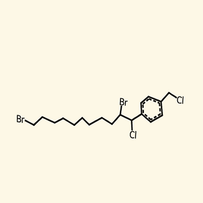 ClCc1ccc(C(Cl)C(Br)CCCCCCCCCBr)cc1